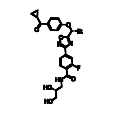 CC[C@@H](Oc1ccc(C(=O)C2CC2)cc1)c1nc(-c2ccc(C(=O)NC[C@@H](O)CO)c(F)c2)no1